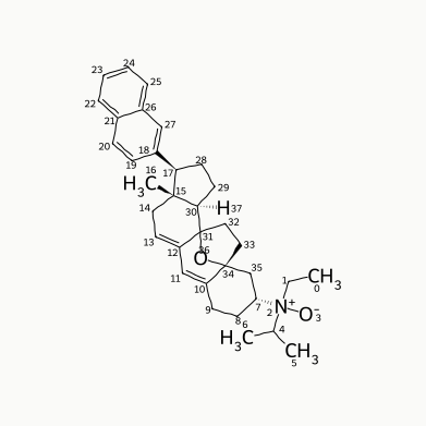 CC[N+]([O-])(C(C)C)[C@@H]1CCC2=CC3=CC[C@]4(C)[C@@H](c5ccc6ccccc6c5)CC[C@H]4C34CC[C@]2(C1)O4